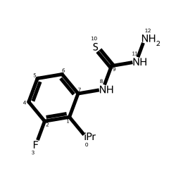 CC(C)c1c(F)cccc1NC(=S)NN